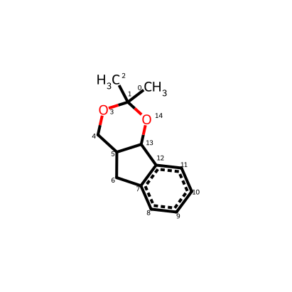 CC1(C)OCC2Cc3ccccc3C2O1